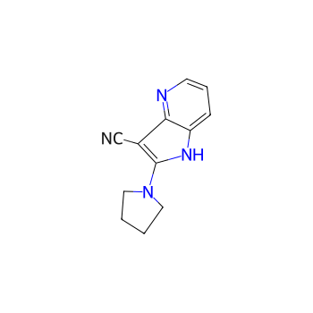 N#Cc1c(N2CCCC2)[nH]c2cccnc12